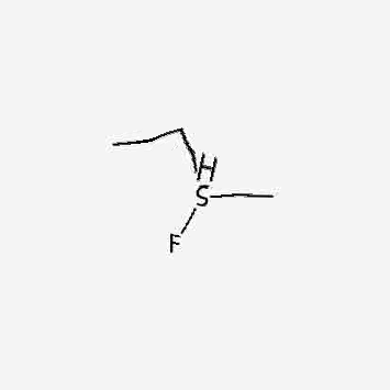 CC[SH](C)F